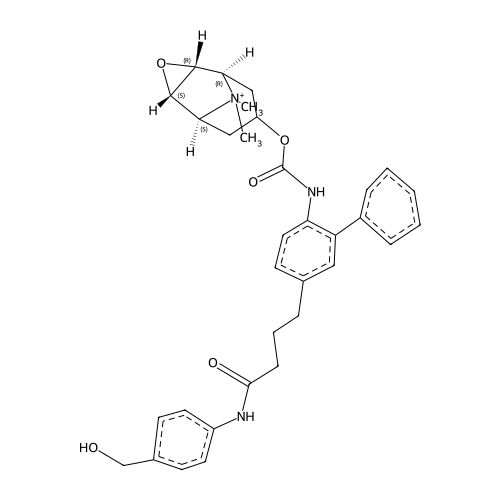 C[N+]1(C)[C@@H]2CC(OC(=O)Nc3ccc(CCCC(=O)Nc4ccc(CO)cc4)cc3-c3ccccc3)C[C@H]1[C@@H]1O[C@@H]12